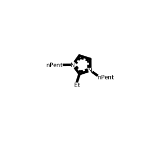 CCCCCn1cc[n+](CCCCC)c1CC